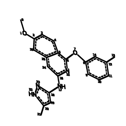 COc1ccc2c(Oc3cccc(C)c3)nc(Nc3cc(C)[nH]n3)cc2c1